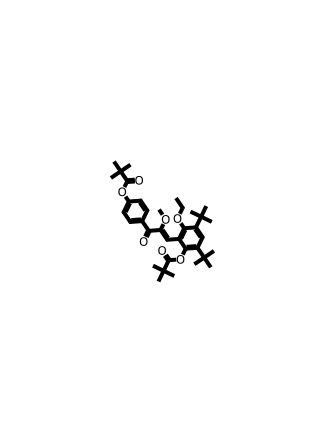 CCOc1c(C(C)(C)C)cc(C(C)(C)C)c(OC(=O)C(C)(C)C)c1C=C(OC)C(=O)c1ccc(OC(=O)C(C)(C)C)cc1